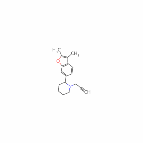 C#CCN1CCCCC1c1ccc2c(C)c(C)oc2c1